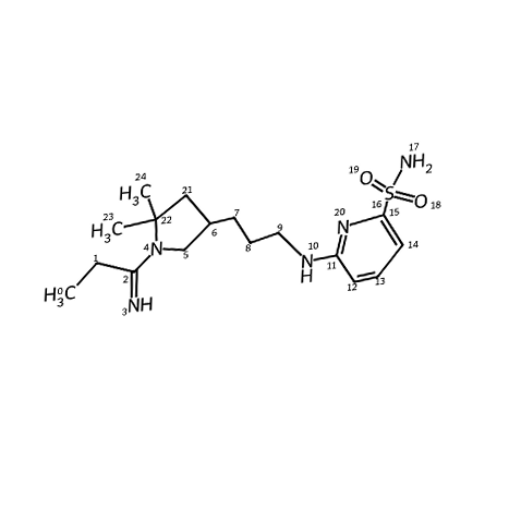 CCC(=N)N1CC(CCCNc2cccc(S(N)(=O)=O)n2)CC1(C)C